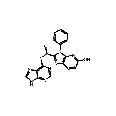 CC(Nc1ncnc2[nH]cnc12)c1nc2ccc(O)nc2n1-c1ccccc1